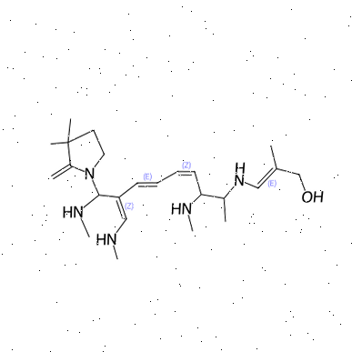 C=C1N(C(NC)C(=C\NC)/C=C/C=C\C(NC)C(C)N/C=C(\C)CO)CCC1(C)C